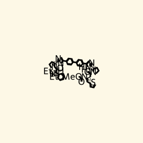 CCN(CC)[C@@H](C(=O)N1CCC[C@H]1c1ncc(-c2ccc(-c3ccc(-c4cnc([C@@H]5CCCN5C(=O)C[C@@H](Cc5cccs5)NC(=O)OC)[nH]4)cc3)cc2)[nH]1)c1ccccc1